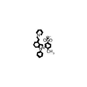 C(C[n+]1ccccc1)=C1CCCc2c1cnn2-c1ccccc1.Cc1ccc(S(=O)(=O)[O-])cc1